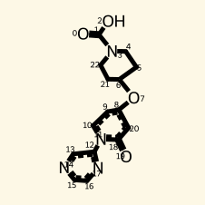 O=C(O)N1CCC(Oc2ccn(-c3cnccn3)c(=O)c2)CC1